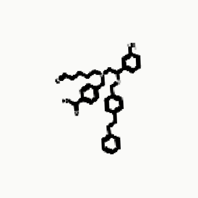 Cc1cccc(C(CN(CCCCC=O)Cc2ccc(C(=O)O)cc2)OCc2ccc(CCc3ccccc3)cc2)c1